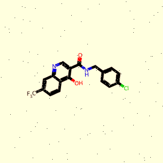 O=C(NCc1ccc(Cl)cc1)c1cnc2cc(C(F)(F)F)ccc2c1O